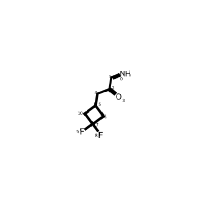 N=CC(=O)CC1CC(F)(F)C1